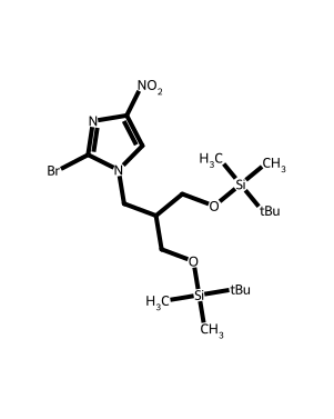 CC(C)(C)[Si](C)(C)OCC(CO[Si](C)(C)C(C)(C)C)Cn1cc([N+](=O)[O-])nc1Br